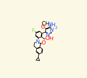 COc1c(N)ncnc1-c1cc(F)cc(N2CCc3cc(C4CC4)ccc3C2=O)c1CO